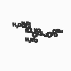 CCn1nc(C)cc1-c1ncc(-c2cc(C(N)=O)cc(OCCCN3CCN(C(=O)OC(C)(C)C)CC3)c2[N+](=O)[O-])cn1